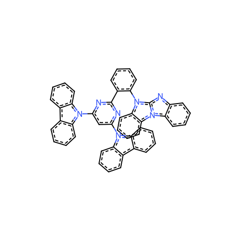 c1ccc(-n2c3ccccc3n3c4ccccc4nc23)c(-c2nc(-n3c4ccccc4c4ccccc43)cc(-n3c4ccccc4c4ccccc43)n2)c1